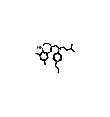 CCCc1ccc(N(CCC(C)C)CC2=Cc3cc(C)cc(C)c3NCC2)cc1